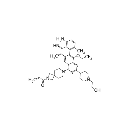 C=CC(=O)N1CC2(CCN(c3nc(C4CCN(CCO)CC4)nc4c(OCC(F)(F)F)c(-c5c(C)ccc(N)c5C=N)c(C=C)cc34)CC2)C1